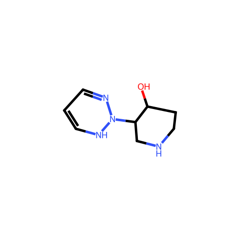 OC1CCNCC1N1N=CC=CN1